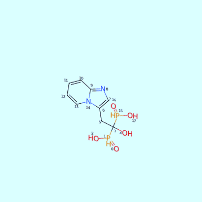 O=[PH](O)C(O)(Cc1cnc2ccccn12)[PH](=O)O